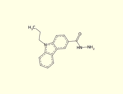 CCCn1c2ccccc2c2cc(C(=O)NN)ccc21